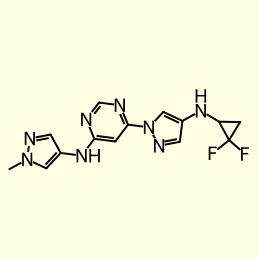 Cn1cc(Nc2cc(-n3cc(NC4CC4(F)F)cn3)ncn2)cn1